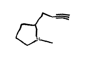 C#CCC1CCCN1C